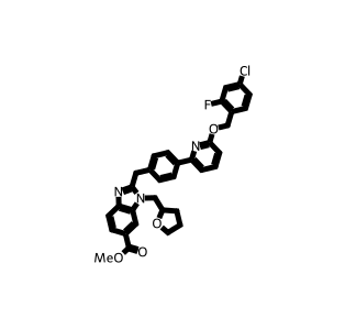 COC(=O)c1ccc2nc(Cc3ccc(-c4cccc(OCc5ccc(Cl)cc5F)n4)cc3)n(CC3CCCO3)c2c1